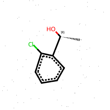 [CH2][C@@H](O)c1ccccc1Cl